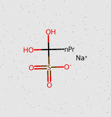 CCCC(O)(O)S(=O)(=O)[O-].[Na+]